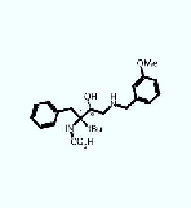 COc1cccc(CNC[C@@H](O)[C@@](Cc2ccccc2)(NC(=O)O)C(C)(C)C)c1